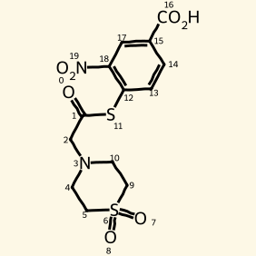 O=C(CN1CCS(=O)(=O)CC1)Sc1ccc(C(=O)O)cc1[N+](=O)[O-]